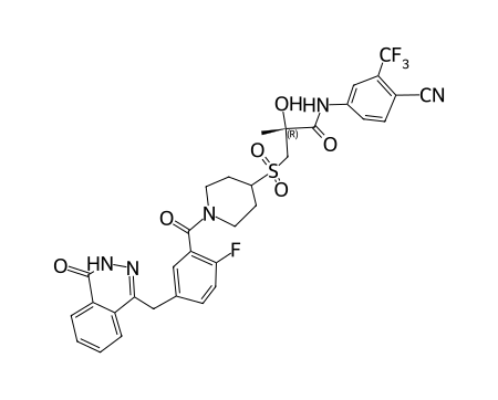 C[C@](O)(CS(=O)(=O)C1CCN(C(=O)c2cc(Cc3n[nH]c(=O)c4ccccc34)ccc2F)CC1)C(=O)Nc1ccc(C#N)c(C(F)(F)F)c1